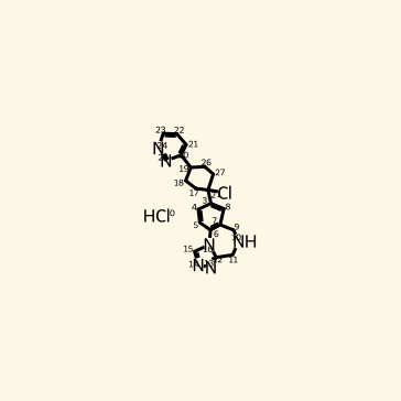 Cl.ClC1(c2ccc3c(c2)CNCc2nncn2-3)CCC(c2cccnn2)CC1